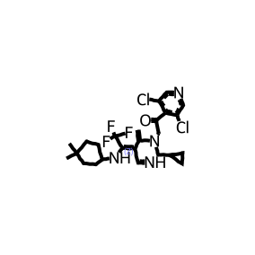 C=C(/C(C=N)=C(/NC1CCC(C)(C)CC1)C(F)(F)F)N(CC(=O)c1c(Cl)cncc1Cl)CC1CC1